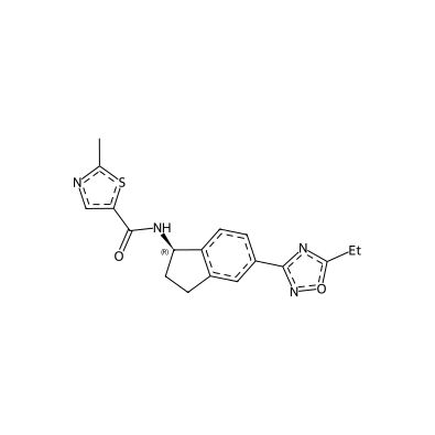 CCc1nc(-c2ccc3c(c2)CC[C@H]3NC(=O)c2cnc(C)s2)no1